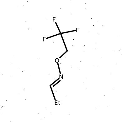 [CH2]CC=NOCC(F)(F)F